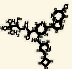 CC(C)(O)C(F)CNC(=O)c1cnc(-c2cnc3cc(Cl)cnn23)cc1Nc1cnn(C2CCC2)c1